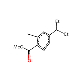 CCC(CC)c1ccc(C(=O)OC)c(C)c1